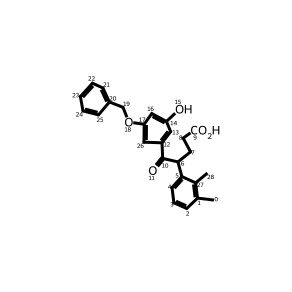 Cc1cccc(C(CCC(=O)O)C(=O)c2cc(O)cc(OCc3ccccc3)c2)c1C